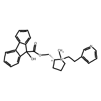 C[N+]1(CCc2cccnc2)CCC[C@@H]1COC(=O)C1(O)c2ccccc2-c2ccccc21